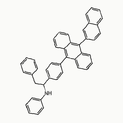 c1ccc(CC(Nc2ccccc2)c2ccc(-c3c4ccccc4c(-c4ccc5ccccc5c4)c4ccccc34)cc2)cc1